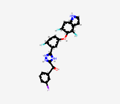 O=C(c1cccc(I)c1)c1nnc(-c2cc(Oc3c(F)cc4[nH]ccc4c3F)ccc2F)[nH]1